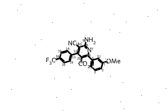 COc1cccc(-c2nc(N)c(C#N)c(-c3ccc(C(F)(F)F)cc3)c2C(=O)O)c1